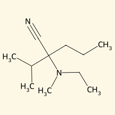 CCCC(C#N)(C(C)C)N(C)CC